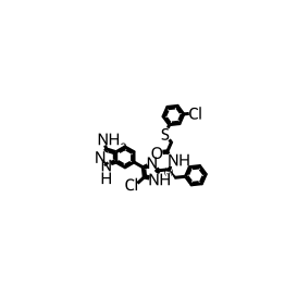 Nc1n[nH]c2cc(-c3nc([C@H](Cc4ccccc4)NC(=O)CSc4cccc(Cl)c4)[nH]c3Cl)ccc12